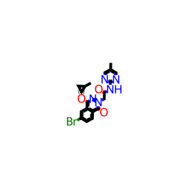 Cc1cnc(NC(=O)Cn2nc(O[C@@H]3CC3C)c3cc(Br)ccc3c2=O)nc1